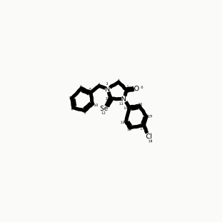 O=C1CN(Cc2ccccc2)C(=[Se])N1c1ccc(Cl)cc1